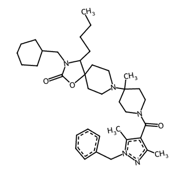 CCCCC1N(CC2CCCCC2)C(=O)OC12CCN(C1(C)CCN(C(=O)c3c(C)nn(Cc4ccccc4)c3C)CC1)CC2